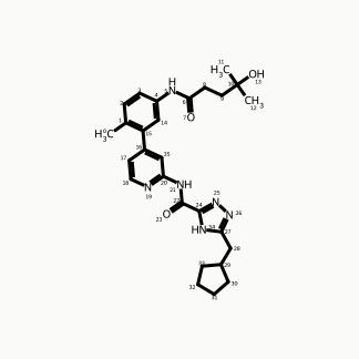 Cc1ccc(NC(=O)CCC(C)(C)O)cc1-c1ccnc(NC(=O)c2nnc(CC3CCCC3)[nH]2)c1